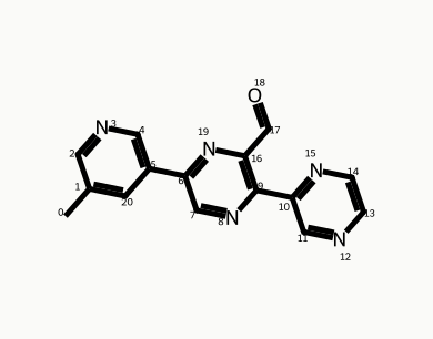 Cc1cncc(-c2cnc(-c3cnccn3)c(C=O)n2)c1